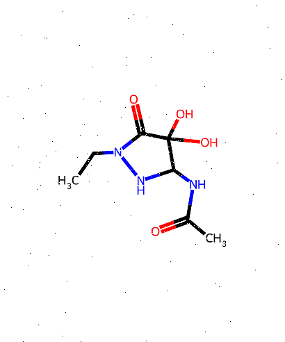 CCN1NC(NC(C)=O)C(O)(O)C1=O